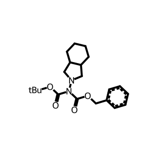 CC(C)(C)OC(=O)N(C(=O)OCc1ccccc1)N1CC2CCCCC2C1